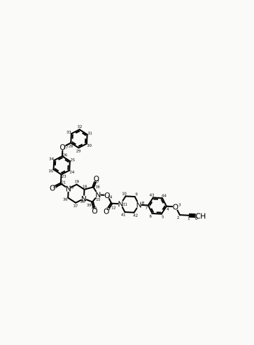 C#CCOc1ccc(N2CCN(C(=O)ON3C(=O)C4CN(C(=O)c5ccc(Oc6ccccc6)cc5)CCN4C3=O)CC2)cc1